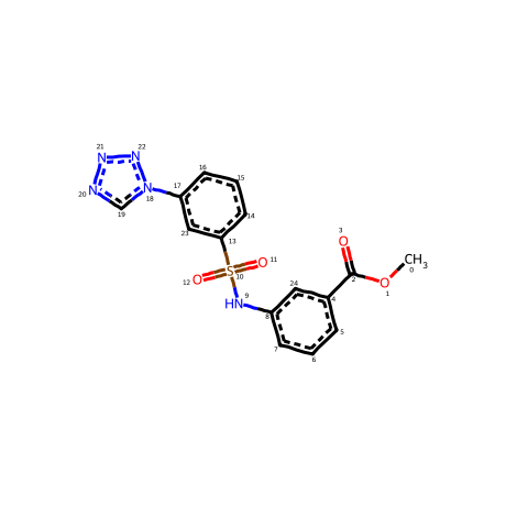 COC(=O)c1cccc(NS(=O)(=O)c2cccc(-n3cnnn3)c2)c1